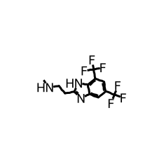 CNCCc1nc2cc(C(F)(F)F)cc(C(F)(F)F)c2[nH]1